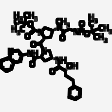 CN(C(=O)CNC(=O)OC(C)(C)C)[C@@H]1C[C@@H](C(=O)N2C[C@H](NC(=O)[C@H](O)CCc3ccccc3)C[C@H]2C(=O)Nc2cnc3ccccc3c2)N(C(=O)OC(C)(C)C)C1